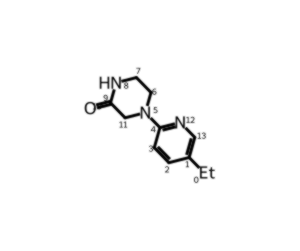 CCc1ccc(N2CCNC(=O)C2)nc1